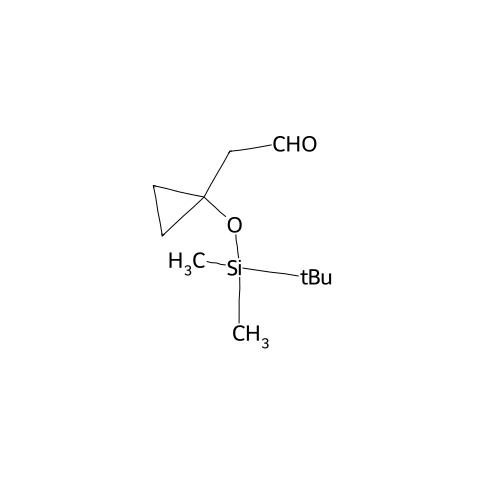 CC(C)(C)[Si](C)(C)OC1(CC=O)CC1